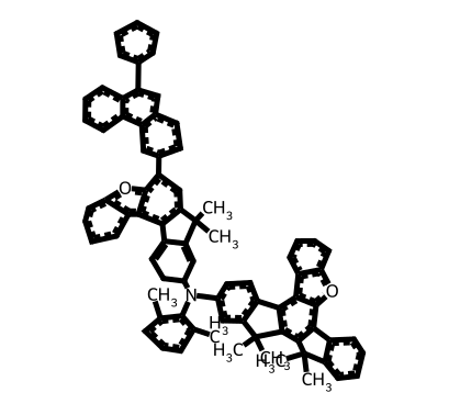 Cc1cccc(C)c1N(c1ccc2c(c1)C(C)(C)c1c3c(c4oc5ccccc5c4c1-2)-c1ccccc1C3(C)C)C1C=C2C(=CC1)c1c(cc(-c3ccc4cc(-c5ccccc5)c5ccccc5c4c3)c3oc4ccccc4c13)C2(C)C